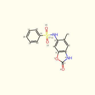 Cc1cc2[nH]c(=O)oc2cc1NS(=O)(=O)c1ccccc1